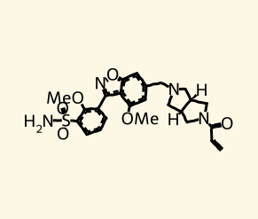 C=CC(=O)N1C[C@H]2CN(Cc3cc(OC)c4c(-c5cccc(S(N)(=O)=O)c5OC)noc4c3)C[C@H]2C1